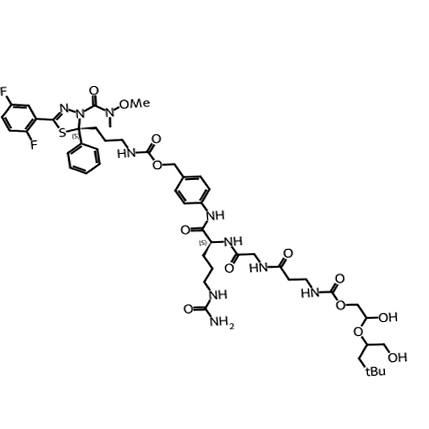 CON(C)C(=O)N1N=C(c2cc(F)ccc2F)S[C@@]1(CCCNC(=O)OCc1ccc(NC(=O)[C@H](CCCNC(N)=O)NC(=O)CNC(=O)CCNC(=O)OCC(O)OC(CO)CC(C)(C)C)cc1)c1ccccc1